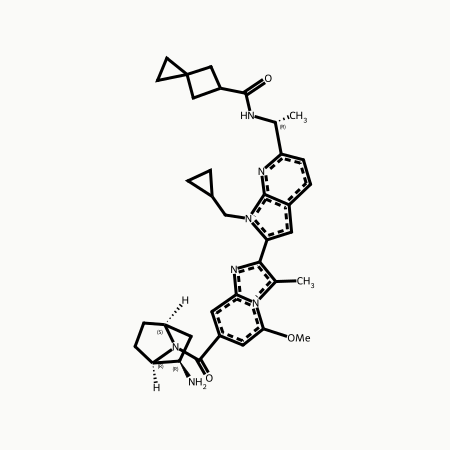 COc1cc(C(=O)N2[C@H]3CC[C@@H]2[C@H](N)C3)cc2nc(-c3cc4ccc([C@@H](C)NC(=O)C5CC6(CC6)C5)nc4n3CC3CC3)c(C)n12